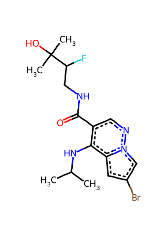 CC(C)Nc1c(C(=O)NCC(F)C(C)(C)O)cnn2cc(Br)cc12